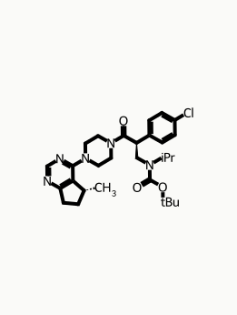 CC(C)N(C[C@@H](C(=O)N1CCN(c2ncnc3c2[C@H](C)CC3)CC1)c1ccc(Cl)cc1)C(=O)OC(C)(C)C